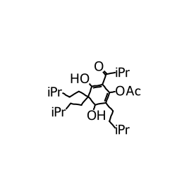 CC(=O)OC1=C(CCC(C)C)C(O)C(CCC(C)C)(CCC(C)C)C(O)=C1C(=O)C(C)C